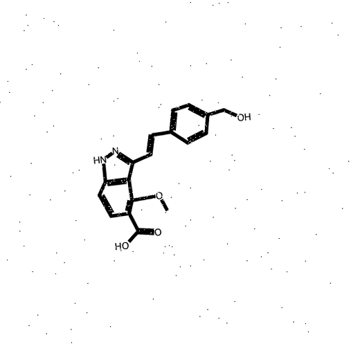 COc1c(C(=O)O)ccc2[nH]nc(C=Cc3ccc(CO)cc3)c12